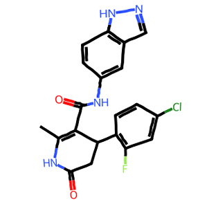 CC1=C(C(=O)Nc2ccc3[nH]ncc3c2)C(c2ccc(Cl)cc2F)CC(=O)N1